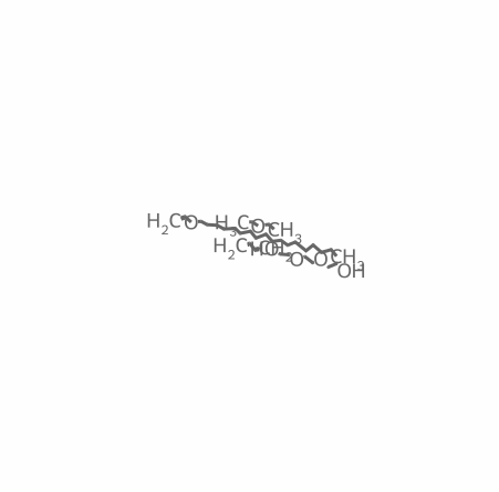 C=CC=C.C=COCCCCCCCCCCCCCCCCCC.CCOCC.OCCOCCOCCO